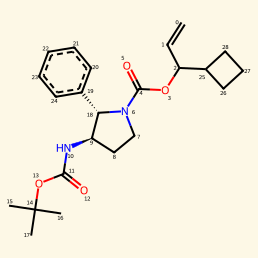 C=CC(OC(=O)N1CC[C@@H](NC(=O)OC(C)(C)C)[C@@H]1c1ccccc1)C1CCC1